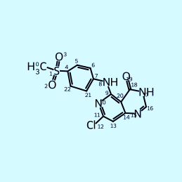 CS(=O)(=O)c1ccc(Nc2nc(Cl)cc3nc[nH]c(=O)c23)cc1